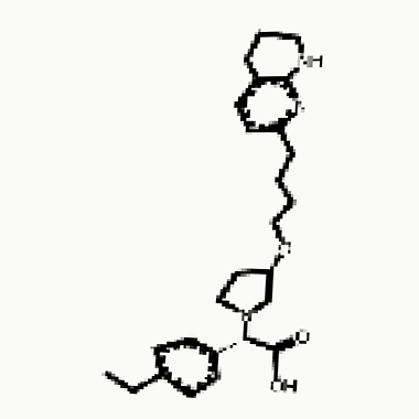 CCc1ccc([C@@H](C(=O)O)N2CC[C@@H](OCCCCc3ccc4c(n3)NCCC4)C2)cc1